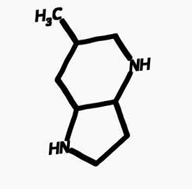 CC1CNC2CCNC2C1